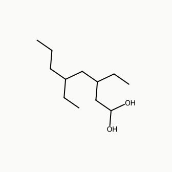 CCCC(CC)CC(CC)CC(O)O